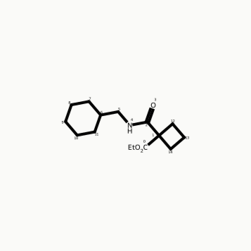 CCOC(=O)C1(C(=O)NCC2CCCCC2)CCC1